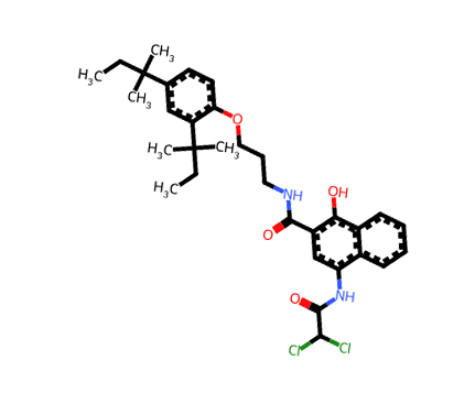 CCC(C)(C)c1ccc(OCCCNC(=O)c2cc(NC(=O)C(Cl)Cl)c3ccccc3c2O)c(C(C)(C)CC)c1